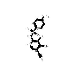 Cc1ccc(S(=O)(=O)Nc2ncc(C#N)c(Cl)c2I)cc1